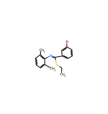 CCSC(=Nc1c(C)cccc1C)c1cccc(Br)c1